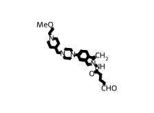 C=C1C2CC=C(N3CCN(CC4CCN(CCOC)CC4)CC3)C=C2CN1NC(=O)CCCC=O